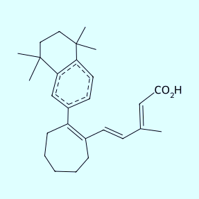 CC(=CC(=O)O)/C=C/C1=C(c2ccc3c(c2)C(C)(C)CCC3(C)C)CCCCC1